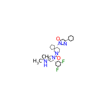 CC(C)N[C@@H]1CCN(C(=O)N2CC[C@@H](Cn3cnc(-c4ccccc4)cc3=O)C3(CCCC3)C2)[C@H](c2cc(F)cc(F)c2)C1